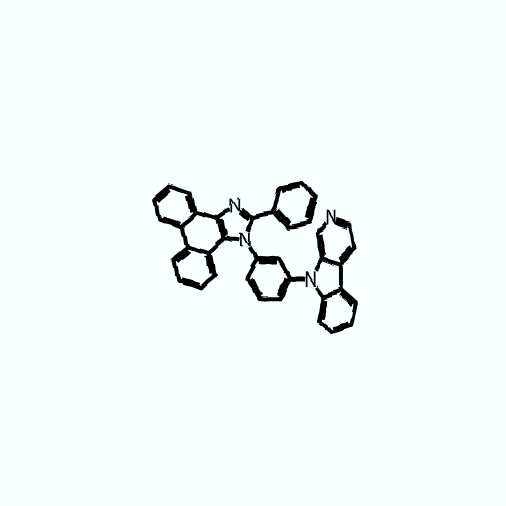 c1ccc(-c2nc3c4ccccc4c4ccccc4c3n2-c2cccc(-n3c4ccccc4c4ccncc43)c2)cc1